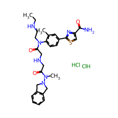 CCNCCN(C(=O)CNCC(=O)N(C)N1Cc2ccccc2C1)c1ccc(-c2nc(C(N)=O)cs2)cc1C.Cl.Cl